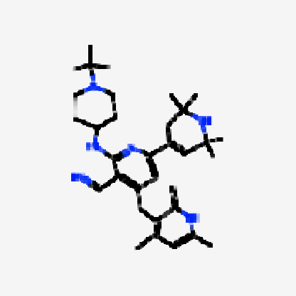 C=C1NC(C)=CC(C)=C1Cc1cc(C2=CC(C)(C)NC(C)(C)C2)nc(NC2CCN(C(C)(C)C)CC2)c1C=N